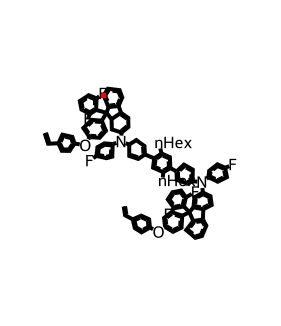 C=Cc1ccc(Oc2ccc(C3(c4c(F)cccc4F)c4ccccc4-c4ccc(N(c5ccc(F)cc5)c5ccc(-c6cc(CCCCCC)c(C7=CCC(N(C8=CC=C9c%10ccccc%10C(c%10ccc(Oc%11ccc(C=C)cc%11)cc%10)(c%10c(F)cccc%10F)C9C8)c8ccc(F)cc8)C=C7)cc6CCCCCC)cc5)cc43)cc2)cc1